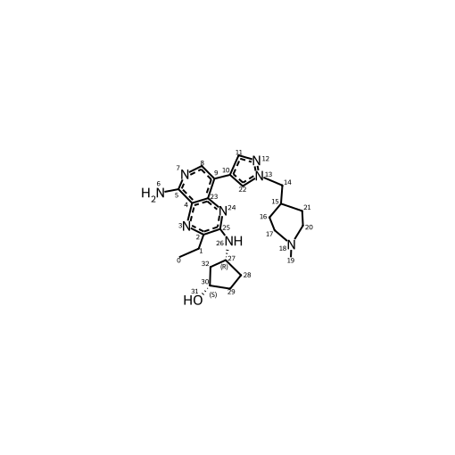 CCc1nc2c(N)ncc(-c3cnn(CC4CCN(C)CC4)c3)c2nc1N[C@@H]1CC[C@H](O)C1